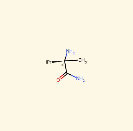 CC(C)[C@](C)(N)C(N)=O